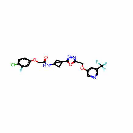 O=C(COc1ccc(Cl)c(F)c1)NC12CC(c3nnc(COc4cncc(C(F)(F)F)c4)o3)(C1)C2